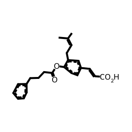 CC(C)=CCc1cc(/C=C/C(=O)O)ccc1OC(=O)CCCc1ccccc1